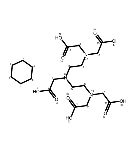 C1CCCCC1.O=C(O)CN(CCN(CC(=O)O)CC(=O)O)CCN(CC(=O)O)CC(=O)O